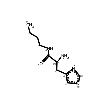 CCCCNC(=O)[C@@H](N)Cc1c[nH]cn1